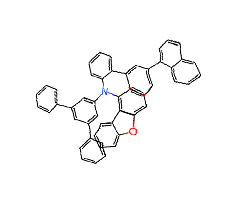 c1ccc(-c2cc(-c3ccccc3)cc(N(c3ccccc3-c3cccc(-c4cccc5ccccc45)c3)c3cccc4oc5ccccc5c34)c2)cc1